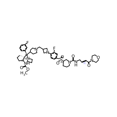 COC(=O)N[C@H]1CCC[C@@H]1[C@](c1cccc(F)c1)(C1CCN(CC2CN(c3ccc(S(=O)(=O)[C@@H]4CCCN(C(=O)NC/C=C/C(=O)N5CCOCC5)C4)cc3F)C2)CC1)N1CCC1